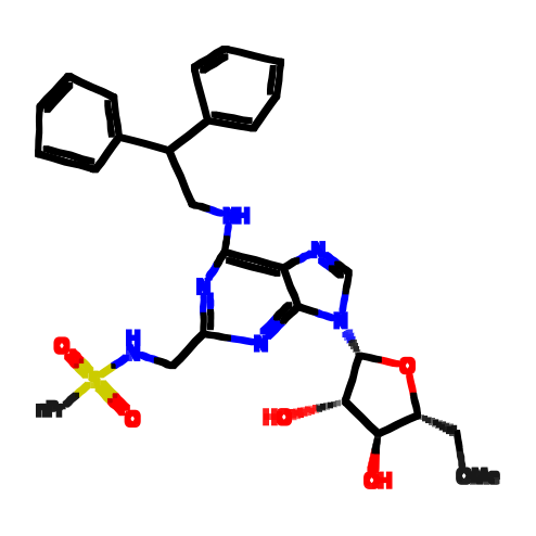 CCCS(=O)(=O)NCc1nc(NCC(c2ccccc2)c2ccccc2)c2ncn([C@@H]3O[C@H](COC)[C@@H](O)[C@@H]3O)c2n1